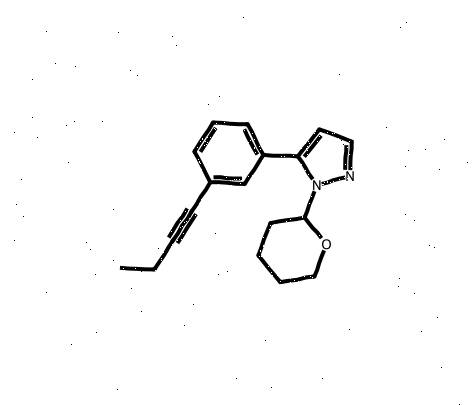 CCC#Cc1cccc(-c2ccnn2C2CCCCO2)c1